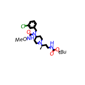 CONC(=O)N(Cc1cccc(Cl)c1)C1CCN([C@H](C)CCNC(=O)OC(C)(C)C)CC1